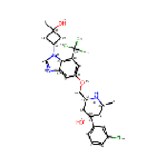 C[C@H]1C[C@@](O)(c2cccc(Cl)c2)C[C@@H](COc2cc(C(F)(F)F)c3c(c2)ncn3C2CC(C)(O)C2)N1